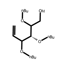 C=CC(OCCCC)[C@@H](OCCCC)C(CO)OCCCC